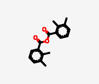 Cc1cccc(C(=O)OC(=O)c2cccc(C)c2C)c1C